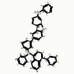 c1ccc(Nc2ccc3c(c2)sc2ccc(-c4cccc(N(c5ccccc5)c5ccc(-c6ccccc6)c6ccccc56)c4)cc23)cc1